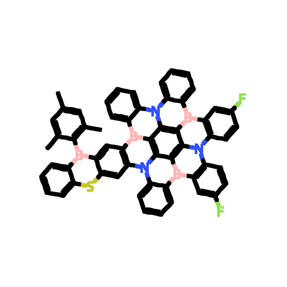 Cc1cc(C)c(B2c3ccccc3Sc3cc4c(cc32)B2c3ccccc3N3c5ccccc5B5c6cc(F)ccc6N6c7ccc(F)cc7B7c8ccccc8N4c4c2c3c5c6c47)c(C)c1